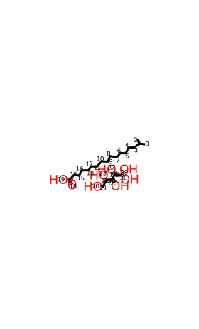 CC(C)CCCCCCCCCCCCCCC(=O)O.OC[C@H](O)[C@@H](O)[C@H](O)C(O)O